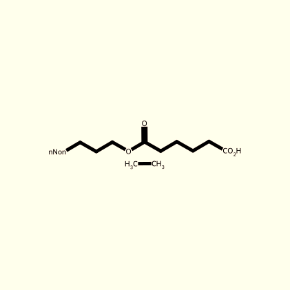 CC.CCCCCCCCCCCCOC(=O)CCCCC(=O)O